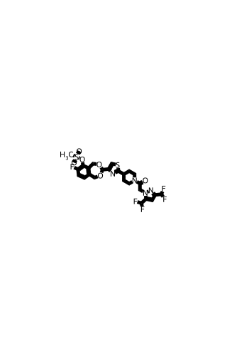 CS(=O)(=O)Oc1c(F)ccc2c1COC(c1csc(C3CCN(C(=O)Cn4nc(C(F)F)cc4C(F)F)CC3)n1)OC2